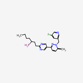 C=C1C=CC(c2cnc(CCC(P)CCCC)nc2)=NN1Cc1cncc(F)c1